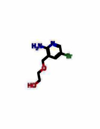 Nc1ncc(Br)cc1COCCO